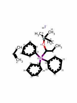 C=CC.CCC(O[Si](C)(C)C)[P+](c1ccccc1)(c1ccccc1)c1ccccc1.[I-]